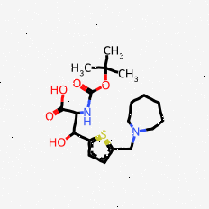 CC(C)(C)OC(=O)NC(C(=O)O)C(O)c1ccc(CN2CCCCCC2)s1